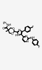 CC(C)NC(=O)C1(C)COC(c2nc(-c3ccc(F)cc3)c(-c3ccnc(Nc4ccc(F)cc4)n3)[nH]2)OC1